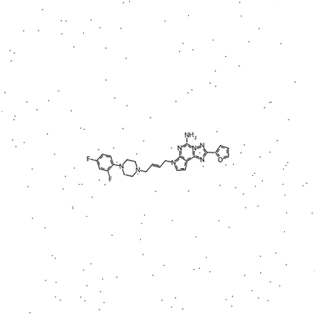 Nc1nc2c(ccn2CC=CCN2CCN(c3ccc(F)cc3F)CC2)c2nc(-c3ccco3)nn12